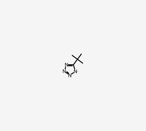 CC(C)(C)C1=NN=N[N]1